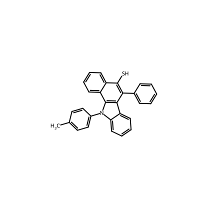 Cc1ccc(-n2c3ccccc3c3c(-c4ccccc4)c(S)c4ccccc4c32)cc1